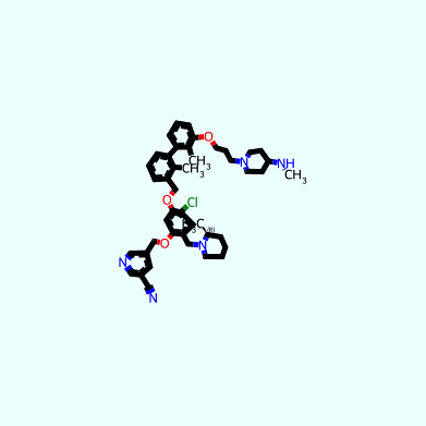 CNC1CCN(CCCOc2cccc(-c3cccc(COc4cc(OCc5cncc(C#N)c5)c(CN5CCCC[C@H]5C)cc4Cl)c3C)c2C)CC1